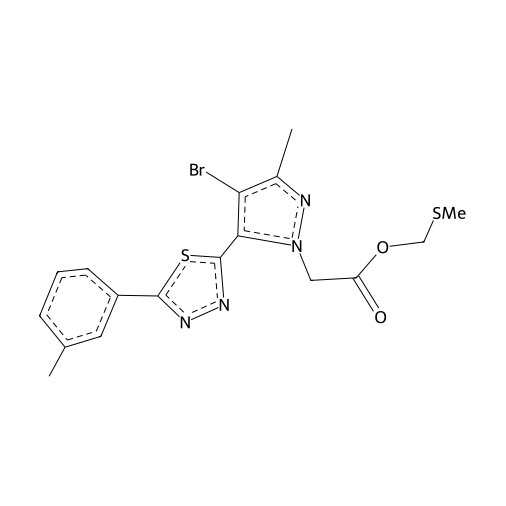 CSCOC(=O)Cn1nc(C)c(Br)c1-c1nnc(-c2cccc(C)c2)s1